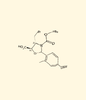 COc1ccc(C2O[C@@H](C(=O)O)[C@H](CC(C)C)N2C(=O)OC(C)(C)C)c(C)c1